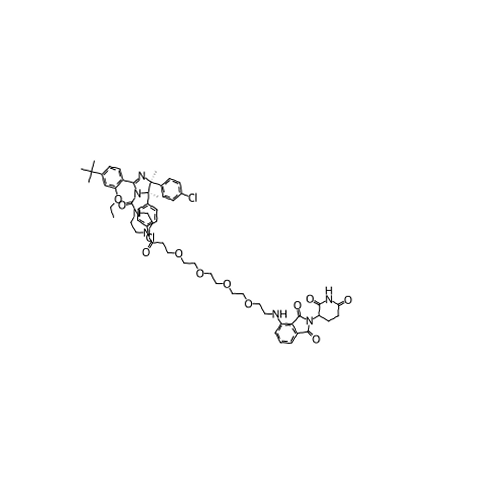 CCOc1cc(C(C)(C)C)ccc1C1=N[C@@](C)(c2ccc(Cl)cc2)[C@@](C)(c2ccc(Cl)cc2)N1C(=O)N1CCN(C(=O)CCOCCOCCOCCOCCNc2cccc3c2C(=O)N(C2CCC(=O)NC2=O)C3=O)CC1